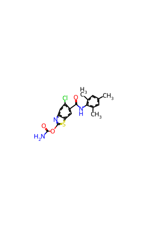 Cc1cc(C)c(NC(=O)c2cc3sc(OC(N)=O)nc3cc2Cl)c(C)c1